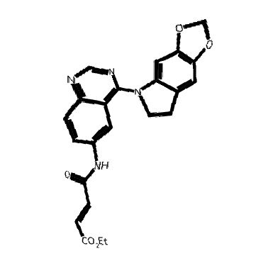 CCOC(=O)C=CC(=O)Nc1ccc2ncnc(N3CCc4cc5c(cc43)OCO5)c2c1